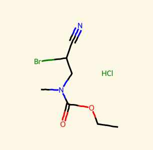 CCOC(=O)N(C)CC(Br)C#N.Cl